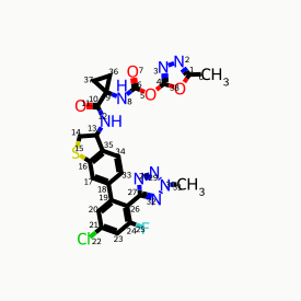 Cc1nnc(OC(=O)NC2(C(=O)NC3CSc4cc(-c5cc(Cl)cc(F)c5-c5nnn(C)n5)ccc43)CC2)o1